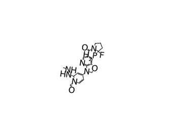 CNNC1C=C(N2COc3cc(C(=O)N4CCCC4(F)P)cnc32)C=CN1C=O